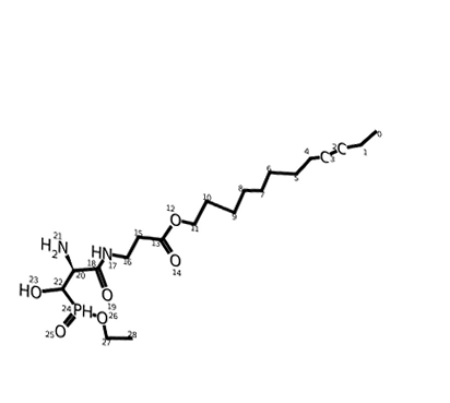 CCCCCCCCCCCCOC(=O)CCNC(=O)[C@H](N)C(O)[PH](=O)OCC